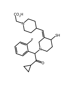 O=C(O)CN1CCC(/C=C2\CN(C(C(=O)C3CC3)c3ccccc3F)CCC2S)CC1